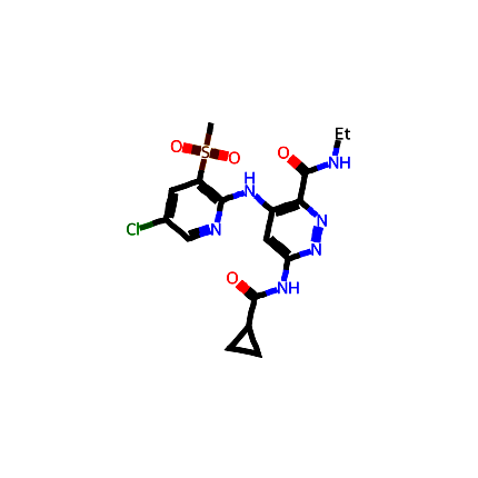 CCNC(=O)c1nnc(NC(=O)C2CC2)cc1Nc1ncc(Cl)cc1S(C)(=O)=O